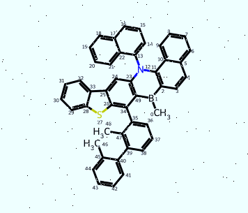 CB1c2ccc3ccccc3c2N(c2cccc3ccccc23)c2cc3c(sc4ccccc43)c(-c3cccc(-c4ccccc4C)c3C)c21